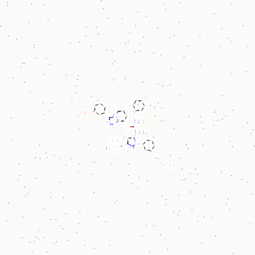 CCC(C)(C)c1cc(NC(=O)NCc2ccccc2Sc2ccc3nnc(-c4cc(O)ccc4Cl)n3c2)n(-c2cccc(OCCO)c2)n1